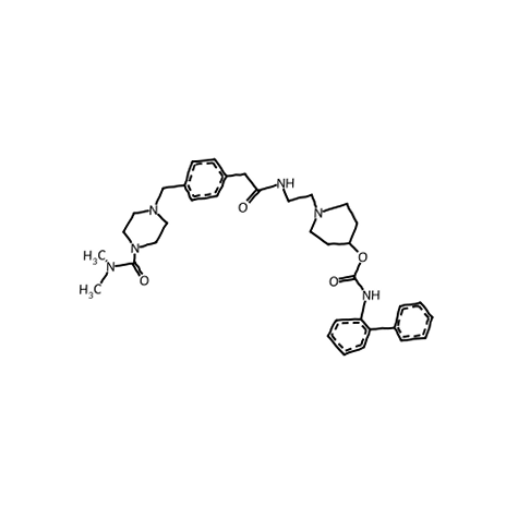 CN(C)C(=O)N1CCN(Cc2ccc(CC(=O)NCCN3CCC(OC(=O)Nc4ccccc4-c4ccccc4)CC3)cc2)CC1